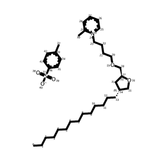 CCCCCCCCCCCCCC[C@H]1CO[C@H](COCCCC[n+]2ccccc2C)C1.Cc1ccc(S(=O)(=O)[O-])cc1